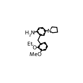 CCOc1c(Cc2cc(N3CCCC3)ccc2N)cccc1OC